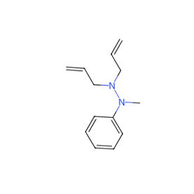 C=CCN(CC=C)N(C)c1ccccc1